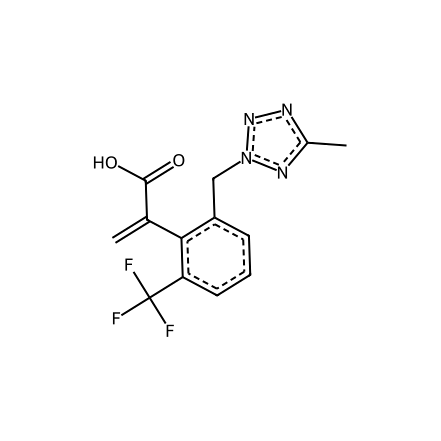 C=C(C(=O)O)c1c(Cn2nnc(C)n2)cccc1C(F)(F)F